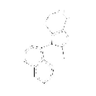 CC(=O)Nc1sc2c(c1-c1cccc3ccccc13)CCNC2